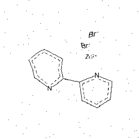 [Br-].[Br-].[Zn+2].c1ccc(-c2ccccn2)nc1